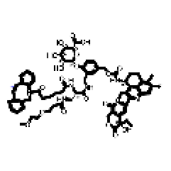 CC[C@@]1(O)C(=O)OCc2c1cc1n(c2=O)Cc2c-1nc1cc(F)c(C)c3c1c2[C@@H](NC(=O)OCc1ccc(O[C@@H]2O[C@H](C(=O)O)[C@@H](O)[C@H](O)[C@H]2O)c(CNC(=O)[C@H](CNC(=O)CCOCCOC)NC(=O)CCCCC(=O)N2Cc4ccccc4/C=C\c4ccccc42)c1)CC3